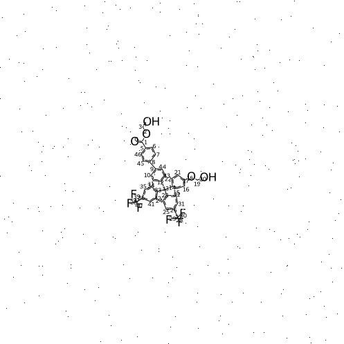 O=C(OCO)c1ccc(-c2ccc(C(c3ccc(OCO)cc3)(c3ccc(C(F)(F)F)cc3)c3ccc(C(F)(F)F)cc3)cc2)cc1